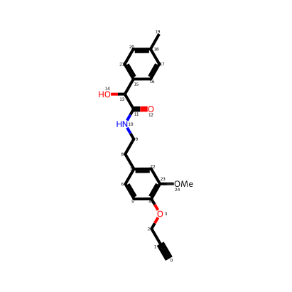 C#CCOc1ccc(CCNC(=O)C(O)c2ccc(C)cc2)cc1OC